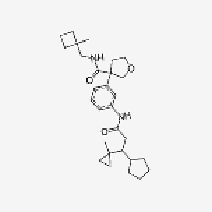 CC1(CNC(=O)C2(c3cccc(NC(=O)CC(C4CCCC4)C4(C)CC4)c3)CCOC2)CCC1